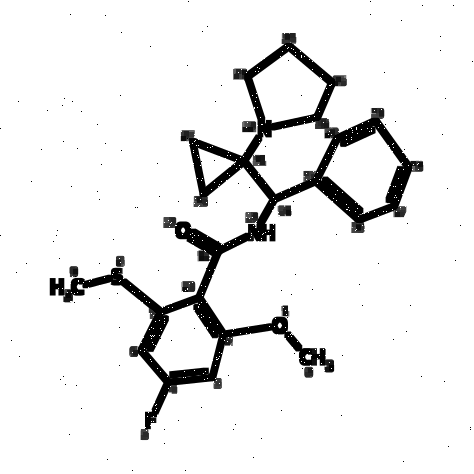 COc1cc(F)cc(SC)c1C(=O)NC(c1ccccc1)C1(N2CCCC2)CC1